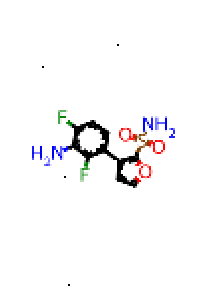 Nc1c(F)ccc(-c2ccoc2S(N)(=O)=O)c1F